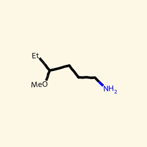 CCC(CCCN)OC